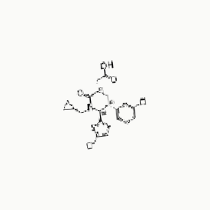 O=C(O)C[C@@H]1C[C@H](c2cccc(Cl)c2)[C@@H](c2ccc(Cl)s2)N(CC2CC2)C1=O